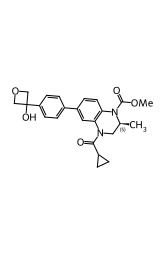 COC(=O)N1c2ccc(-c3ccc(C4(O)COC4)cc3)cc2N(C(=O)C2CC2)C[C@@H]1C